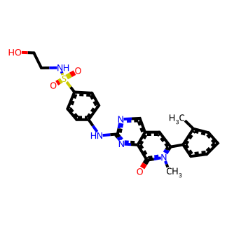 Cc1ccccc1-c1cc2cnc(Nc3ccc(S(=O)(=O)NCCO)cc3)nc2c(=O)n1C